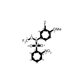 COc1ccc(N(OC(F)(F)F)S(=O)(=O)c2ccccc2[N+](=O)[O-])cc1F